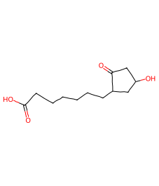 O=C(O)CCCCCCC1CC(O)CC1=O